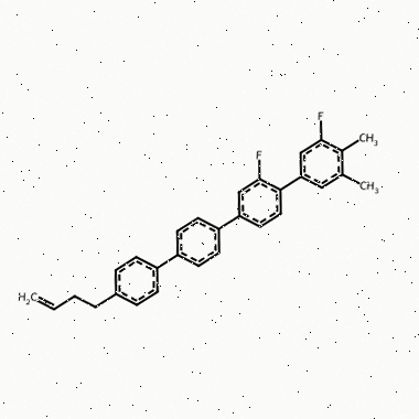 C=CCCc1ccc(-c2ccc(-c3ccc(-c4cc(C)c(C)c(F)c4)c(F)c3)cc2)cc1